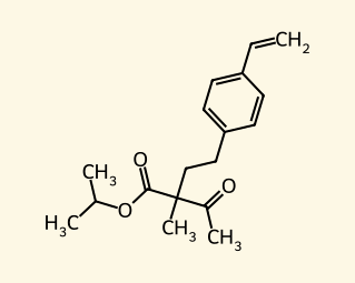 C=Cc1ccc(CCC(C)(C(C)=O)C(=O)OC(C)C)cc1